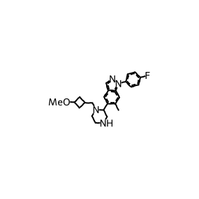 COC1CC(CN2CCNCC2c2cc3cnn(-c4ccc(F)cc4)c3cc2C)C1